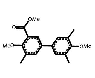 COC(=O)c1cc(-c2cc(C)c(OC)c(C)c2)cc(C)c1OC